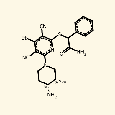 CCc1c(C#N)c(SC(C(N)=O)c2ccccc2)nc(N2CC[C@@H](N)[C@@H](F)C2)c1C#N